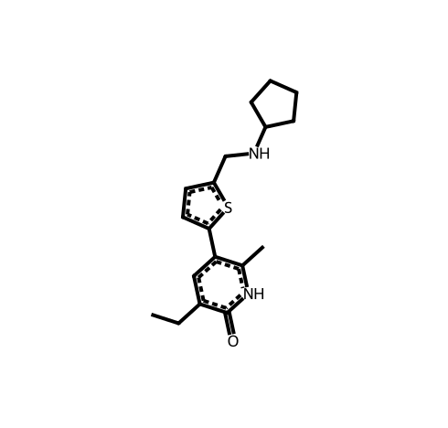 CCc1cc(-c2ccc(CNC3CCCC3)s2)c(C)[nH]c1=O